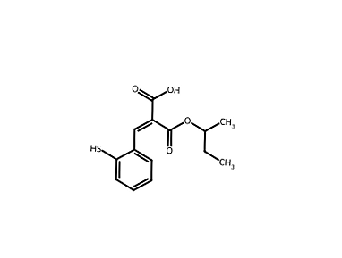 CCC(C)OC(=O)C(=Cc1ccccc1S)C(=O)O